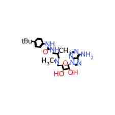 CC(CNC(=O)Nc1ccc(C(C)(C)C)cc1)CN(C)C[C@H]1O[C@@H](n2cnc3c(N)ncnc32)[C@H](O)[C@@H]1O